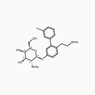 CC(=O)NCCc1ccc(O[C@@H]2O[C@H](CO)[C@H](O)[C@H](O)[C@H]2NC(C)=O)cc1-c1cccc(F)c1